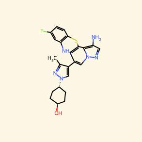 Cc1nn([C@H]2CC[C@H](O)CC2)cc1-c1cc(Sc2ccc(F)cc2N)c2c(N)cnn2c1